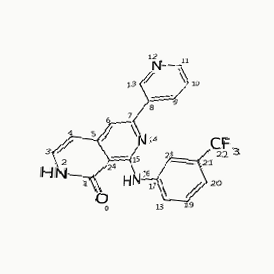 O=c1[nH]ccc2cc(-c3cccnc3)nc(Nc3cccc(C(F)(F)F)c3)c12